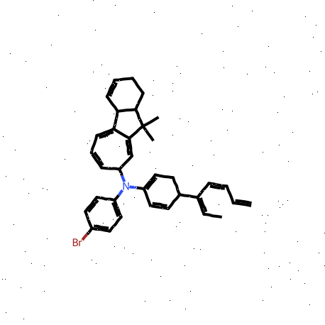 C=C/C=C\C(=C/C)C1C=CC(N(c2ccc(Br)cc2)C2C=CC=C3C(=C2)C(C)(C)C2CCC=CC32)=CC1